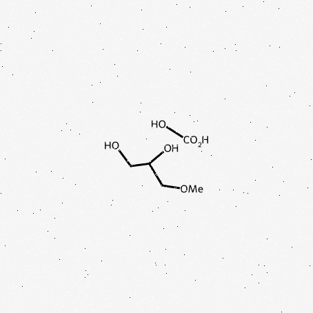 COCC(O)CO.O=C(O)O